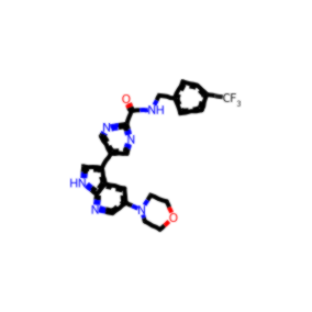 O=C(NCc1ccc(C(F)(F)F)cc1)c1ncc(-c2c[nH]c3ncc(N4CCOCC4)cc23)cn1